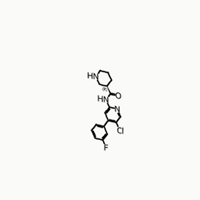 O=C(Nc1cc(-c2cccc(F)c2)c(Cl)cn1)[C@@H]1CCCNC1